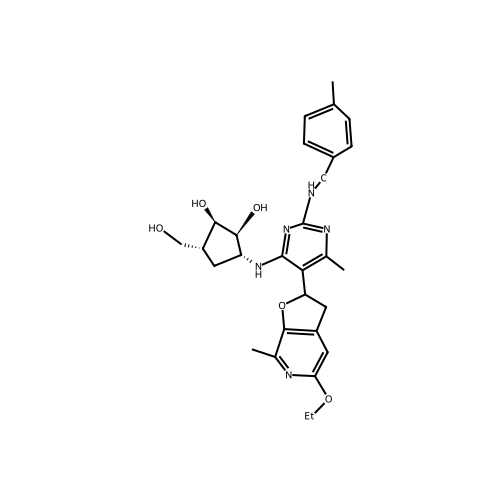 CCOc1cc2c(c(C)n1)OC(c1c(C)nc(NCc3ccc(C)cc3)nc1N[C@@H]1C[C@H](CO)[C@@H](O)[C@H]1O)C2